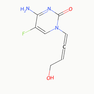 Nc1nc(=O)n(C=C=CCO)cc1F